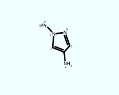 CCCn1cc(N)cn1